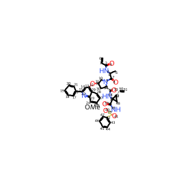 C=CC(=O)NC(C)C(=O)N1C[C@H](Oc2cc(-c3ccccc3)nc3cc(OC)ccc23)C[C@H]1C(=O)N[C@]1(C(=O)NS(=O)(=O)c2ccccc2)C[C@H]1C=C